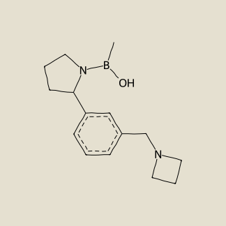 CB(O)N1CCCC1c1cccc(CN2CCC2)c1